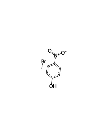 CBr.O=[N+]([O-])c1ccc(O)cc1